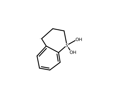 OS1(O)CC[CH]c2ccccc21